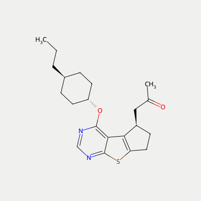 CCC[C@H]1CC[C@H](Oc2ncnc3sc4c(c23)[C@@H](CC(C)=O)CC4)CC1